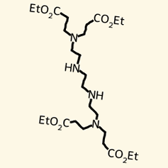 CCOC(=O)CCN(CCNCCNCCN(CCC(=O)OCC)CCC(=O)OCC)CCC(=O)OCC